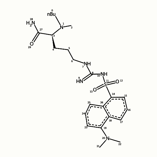 CCCCN(C)[C@@H](CCCNC(=N)NS(=O)(=O)c1cccc2c(N(C)C)cccc12)C(N)=O